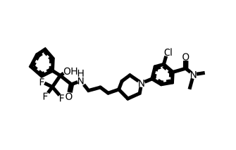 CN(C)C(=O)c1ccc(N2CCC(CCCNC(=O)C(O)(c3ccccc3)C(F)(F)F)CC2)cc1Cl